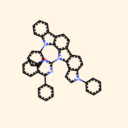 c1ccc(-c2nc(-n3c4c(ccc5c4ccn5-c4ccccc4)c4ccc5c6ccccc6n(-c6ccccc6)c5c43)nc3ccccc23)cc1